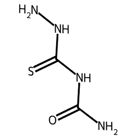 NNC(=S)NC(N)=O